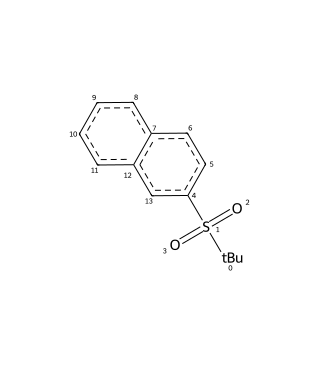 CC(C)(C)S(=O)(=O)c1ccc2ccccc2c1